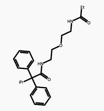 CCC(=O)NCCOCCNC(=O)C(c1ccccc1)(c1ccccc1)C(C)C